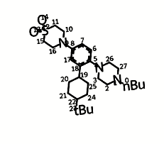 CCCCN1CCN(c2ccc(N3CCS(=O)(=O)CC3)cc2C2CCC(C(C)(C)C)CC2)CC1